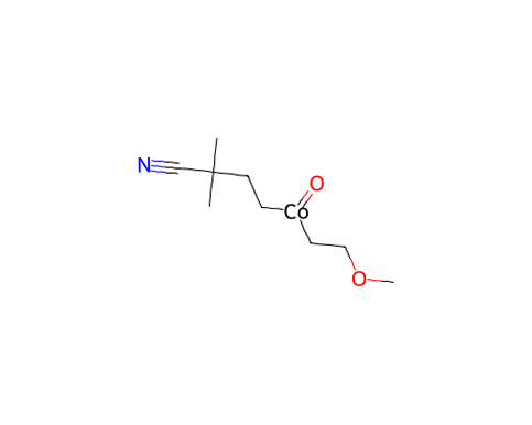 COC[CH2][Co](=[O])[CH2]CC(C)(C)C#N